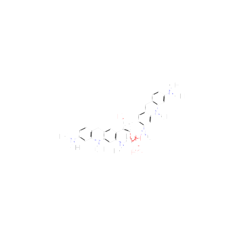 CN(C)c1ccc2c(c1)N(C)c1cc(N(C)C)c(-c3c(O)[c+](-c4cc5c(cc4N(C)C)N(C)c4cc(N(C)C)ccc4C5)[c+]3O)cc1C2.[OH-].[OH-]